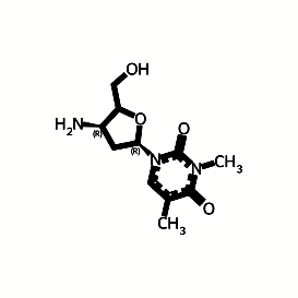 Cc1cn([C@H]2C[C@@H](N)C(CO)O2)c(=O)n(C)c1=O